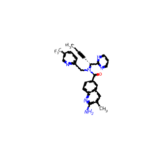 CC#C[C@H](c1ncccn1)N(Cc1ccc(C(F)(F)F)cn1)C(=O)c1ccc2nc(N)c(C)cc2c1